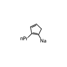 CCCC1=[C]([Na])CC=C1